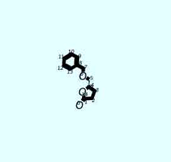 O=C1CC[C@@H](COCc2ccccc2)O1